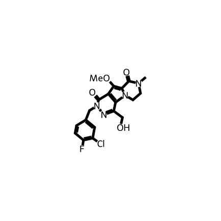 COc1c2n(c3c(CO)nn(Cc4ccc(F)c(Cl)c4)c(=O)c13)CCN(C)C2=O